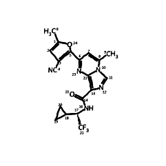 Cc1cc(C#N)c(-c2cc(C)n3cnc(C(=O)N[C@H](C4CC4)C(F)(F)F)c3n2)o1